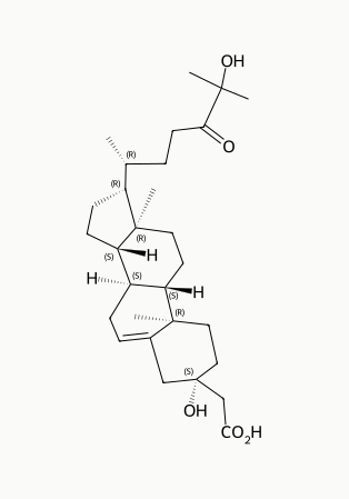 C[C@H](CCC(=O)C(C)(C)O)[C@H]1CC[C@H]2[C@@H]3CC=C4C[C@](O)(CC(=O)O)CC[C@]4(C)[C@H]3CC[C@]12C